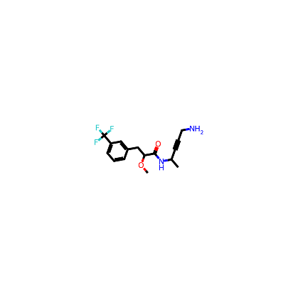 COC(Cc1cccc(C(F)(F)F)c1)C(=O)NC(C)C#CCN